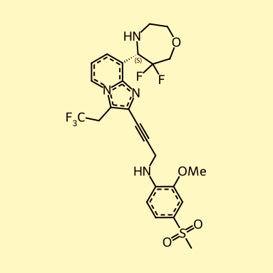 COc1cc(S(C)(=O)=O)ccc1NCC#Cc1nc2c([C@@H]3NCCOCC3(F)F)cccn2c1CC(F)(F)F